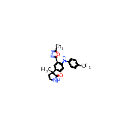 Cc1nnc(-c2cc(C3(C)CCNC3=O)ccc2Nc2ccc(C(F)(F)F)cc2)o1